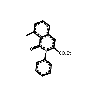 CCOC(=O)c1cc2cccc(C)c2c(=O)n1-c1ccccc1